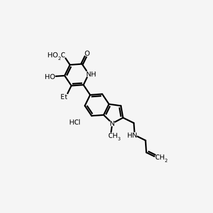 C=CCNCc1cc2cc(-c3[nH]c(=O)c(C(=O)O)c(O)c3CC)ccc2n1C.Cl